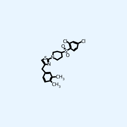 Cc1ccc(Cc2csc(N3CCC(S(=O)(=O)c4ccc(Cl)cc4Cl)CC3)n2)cc1C